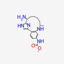 COC(=O)Nc1ccc2c(c1)NC(C)CCCC[C@H](N)c1nc-2c[nH]1